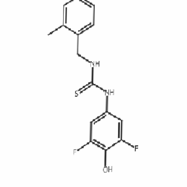 Cc1ccccc1CNC(=S)Nc1cc(F)c(O)c(F)c1